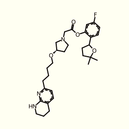 CC1(C)CCC(c2ccc(F)cc2OC(=O)CN2CC[C@@H](OCCCCc3ccc4c(n3)NCCC4)C2)O1